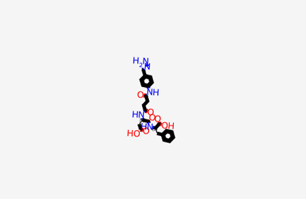 NN=Cc1ccc(NC(=O)CCC(=O)N[C@@H](CC(=O)O)C(=O)N[C@@H](Cc2ccccc2)C(=O)O)cc1